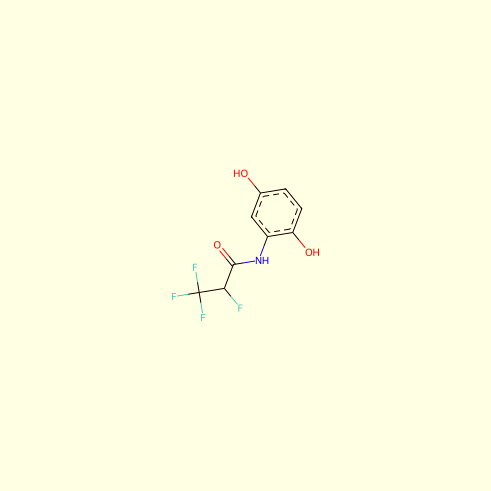 O=C(Nc1cc(O)ccc1O)C(F)C(F)(F)F